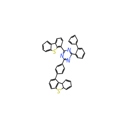 C1=CC2Sc3cccc(-c4ccc(-c5nc(-c6ccccc6-c6ccccc6)nc(-c6cccc7c6sc6ccccc67)n5)cc4)c3C2C=C1